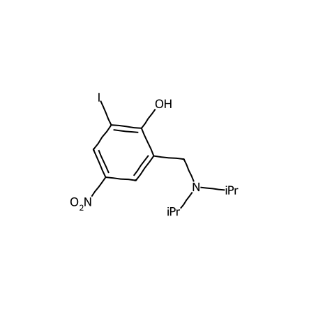 CC(C)N(Cc1cc([N+](=O)[O-])cc(I)c1O)C(C)C